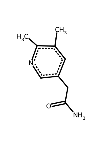 Cc1cc(CC(N)=O)cnc1C